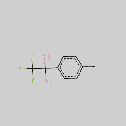 BC(B)(c1ccc(C)cc1)C(F)(F)F